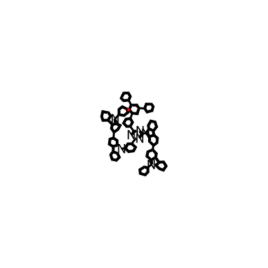 c1ccc(-c2cc(-c3ccccc3)cc(-c3cccc(-c4nc(-c5cccc(-n6c7ccccc7c7ccc(-c8ccc9c(c8)c8ccccc8n9-c8ccccc8)cc76)c5)nc(-n5c6ccccc6c6ccc(-c7ccc8c(c7)c7ccccc7n8-c7ccccc7)cc65)n4)c3)c2)cc1